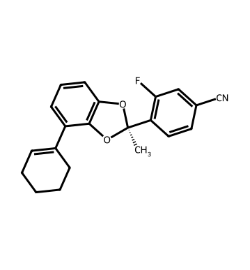 C[C@@]1(c2ccc(C#N)cc2F)Oc2cccc(C3=CCCCC3)c2O1